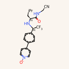 CC(C)C[C@H](N[C@H](c1ccc(-c2cc[n+]([O-])cc2)cc1)C(F)(F)F)C(=O)NCC#N